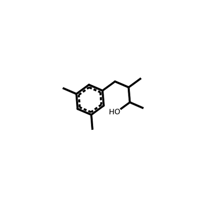 Cc1cc(C)cc(CC(C)C(C)O)c1